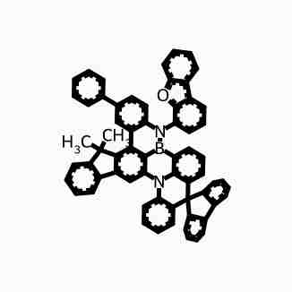 CC1(C)c2ccccc2-c2cc3c4c(c21)-c1cc(-c2ccccc2)ccc1N(c1cccc2c1oc1ccccc12)B4c1cccc2c1N3c1ccccc1C21c2ccccc2-c2ccccc21